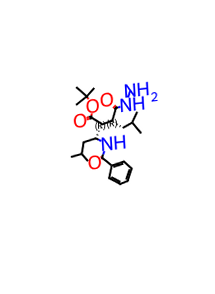 CC(C)CC(NC(=O)c1ccccc1)[C@H](C(=O)OC(C)(C)C)[C@@H](CC(C)C)C(=O)NN